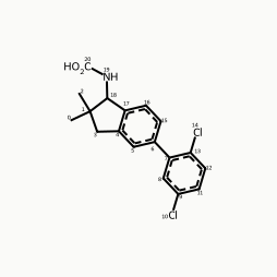 CC1(C)Cc2cc(-c3cc(Cl)ccc3Cl)ccc2C1NC(=O)O